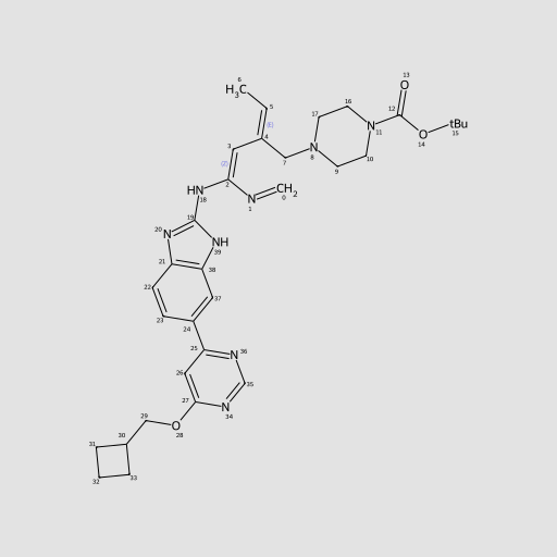 C=N/C(=C\C(=C/C)CN1CCN(C(=O)OC(C)(C)C)CC1)Nc1nc2ccc(-c3cc(OCC4CCC4)ncn3)cc2[nH]1